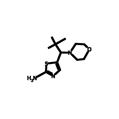 CC(C)(C)C(c1cnc(N)s1)N1CCOCC1